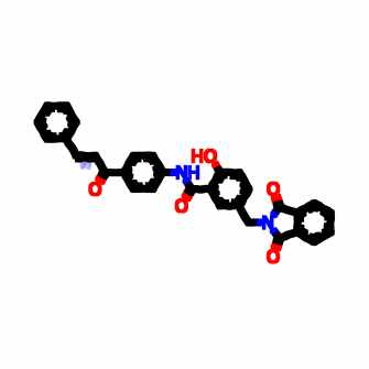 O=C(/C=C/c1ccccc1)c1ccc(NC(=O)c2cc(CN3C(=O)c4ccccc4C3=O)ccc2O)cc1